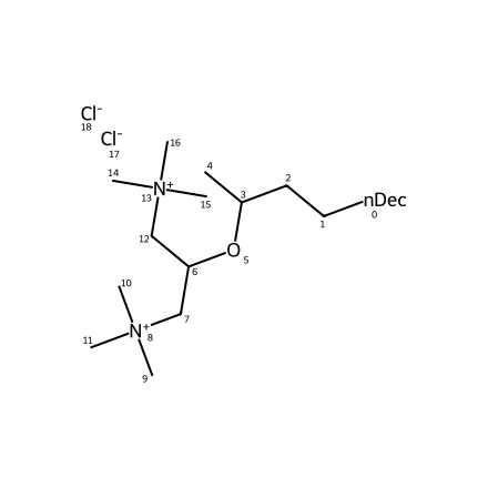 CCCCCCCCCCCCC(C)OC(C[N+](C)(C)C)C[N+](C)(C)C.[Cl-].[Cl-]